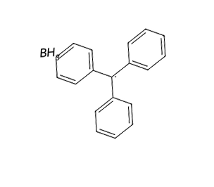 B.c1ccc([C](c2ccccc2)c2ccccc2)cc1